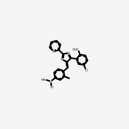 CCCCN(CC)c1ccc(/C=C2\N=C(c3ccccn3)N=C2c2cc(Cl)ccc2C=O)c(C)c1